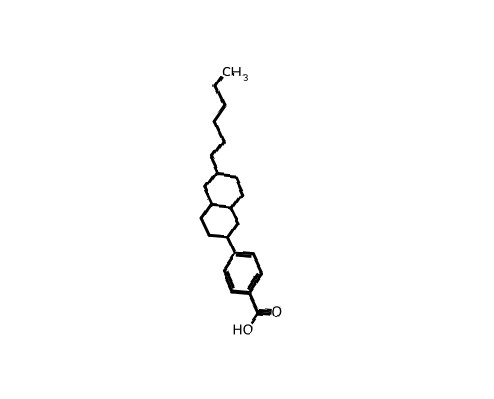 CCCCCCC1CCC2CC(c3ccc(C(=O)O)cc3)CCC2C1